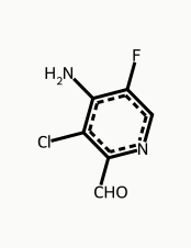 Nc1c(F)cnc(C=O)c1Cl